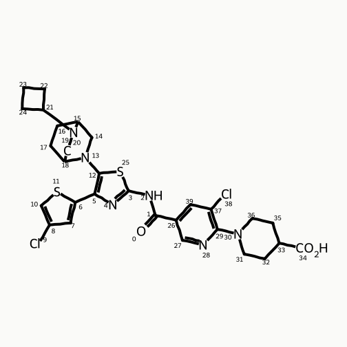 O=C(Nc1nc(-c2cc(Cl)cs2)c(N2CC3CCC2CN3C2CCC2)s1)c1cnc(N2CCC(C(=O)O)CC2)c(Cl)c1